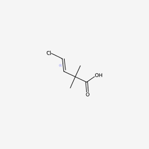 CC(C)(/C=C/Cl)C(=O)O